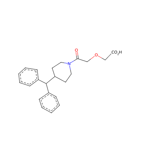 O=C(O)COCC(=O)N1CCC(C(c2ccccc2)c2ccccc2)CC1